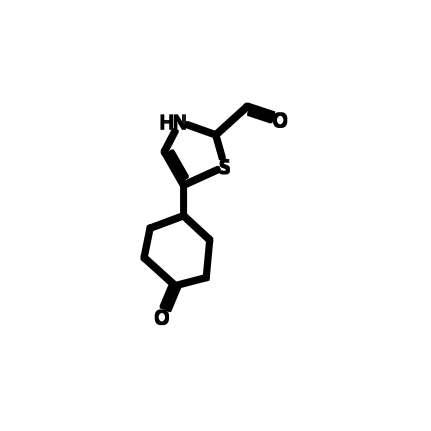 O=CC1NC=C(C2CCC(=O)CC2)S1